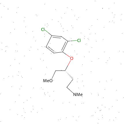 CNCC[C@H](COC)Oc1ccc(Cl)cc1Cl